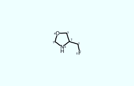 FCC1COCN1